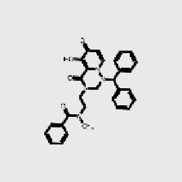 CN(CCN1CN(C(c2ccccc2)c2ccccc2)n2ccc(=O)c(O)c2C1=O)C(=O)c1ccccc1